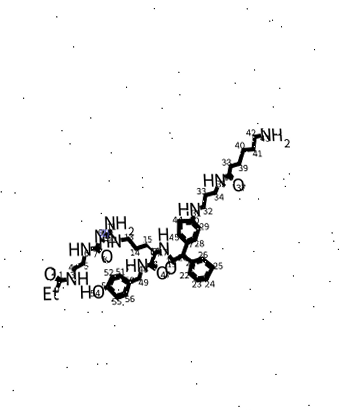 CCC(=O)NCCNC(=O)/N=C(/N)NCCC[C@@H](NC(=O)C(c1ccccc1)c1ccc(NCCCNC(=O)CCCCCN)cc1)C(=O)NCc1ccc(O)cc1